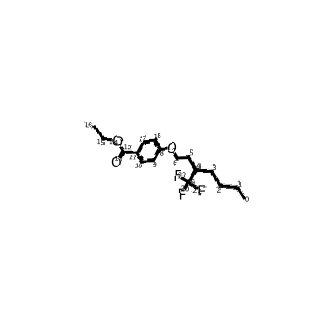 CCCCC(CCOc1ccc(C(=O)OCC)cc1)C(F)(F)F